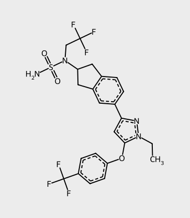 CCn1nc(-c2ccc3c(c2)CC(N(CC(F)(F)F)S(N)(=O)=O)C3)cc1Oc1ccc(C(F)(F)F)cc1